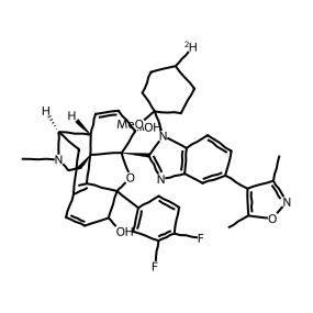 [2H]C1CCC(OC)(n2c([C@]34OC5(c6ccc(F)c(F)c6)C6=C(C=CC5O)C[C@@H]5[C@H](C=C[C@@H]3O)[C@@]64CCN5C)nc3cc(-c4c(C)noc4C)ccc32)CC1